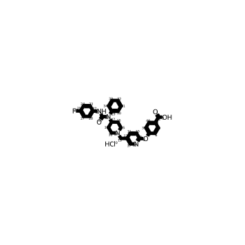 Cl.O=C(O)c1ccc(Oc2ccc(CN3CCC(N(C(=O)Nc4ccc(F)cc4)c4ccccc4)CC3)cn2)cc1